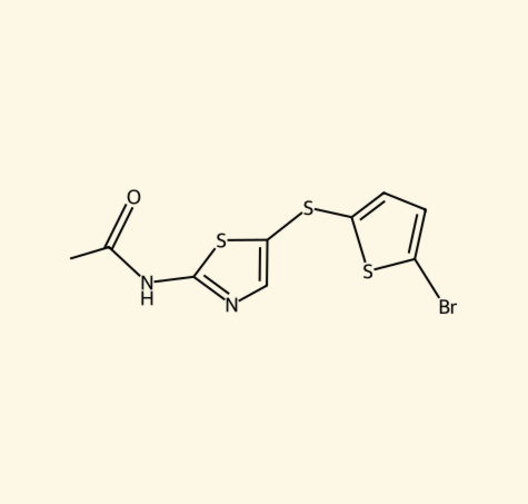 CC(=O)Nc1ncc(Sc2ccc(Br)s2)s1